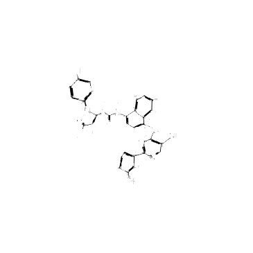 Cc1ccc(-n2nc(C(C)(C)C)cc2NC(=O)Nc2ccc(Oc3nc(-c4cccc(O)c4)ncc3N)c3ccccc23)cc1